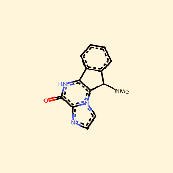 CNC1c2ccccc2-c2[nH]c(=O)c3nccn3c21